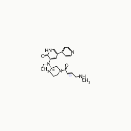 CCN(c1cc(-c2ccncc2)c[nH]c1=O)[C@H]1CCCN(C(=O)/C=C/CNC)C1